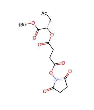 CC(=O)C[C@H](OC(=O)CCC(=O)ON1C(=O)CCC1=O)C(=O)OC(C)(C)C